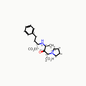 CCOC(=O)[C@H](CCc1ccccc1)N[C@@H](C)C(=O)[C@@H](C(=O)O)N1CCCC1